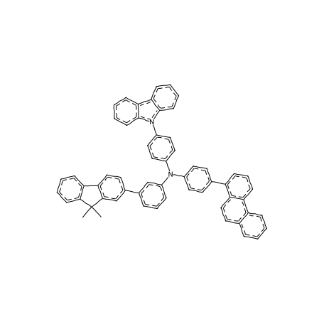 CC1(C)c2ccccc2-c2ccc(-c3cccc(N(c4ccc(-c5cccc6c5ccc5ccccc56)cc4)c4ccc(-n5c6ccccc6c6ccccc65)cc4)c3)cc21